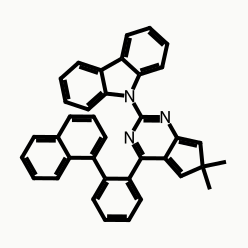 CC1(C)C=c2nc(-n3c4ccccc4c4ccccc43)nc(-c3ccccc3-c3cccc4ccccc34)c2=C1